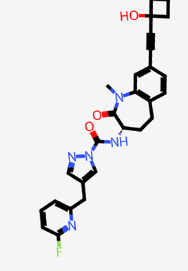 CN1C(=O)[C@@H](NC(=O)n2cc(Cc3cccc(F)n3)cn2)CCc2ccc(C#CC3(O)CCC3)cc21